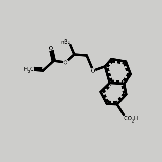 C=CC(=O)OC(CCCC)COc1cccc2cc(C(=O)O)ccc12